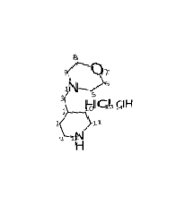 C1CC(CN2CCOCC2)CCN1.Cl.Cl